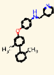 Cc1ccccc1-c1ccc(Oc2ccc(NCc3cccnc3)cc2)cc1C